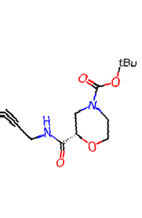 C#CCNC(=O)[C@@H]1CN(C(=O)OC(C)(C)C)CCO1